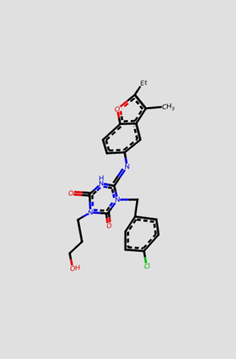 CCc1oc2ccc(/N=c3\[nH]c(=O)n(CCCO)c(=O)n3Cc3ccc(Cl)cc3)cc2c1C